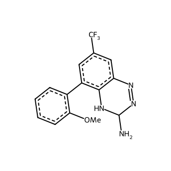 COc1ccccc1-c1cc(C(F)(F)F)cc2c1NC(N)N=N2